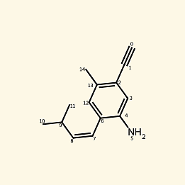 C#Cc1cc(N)c(/C=C\C(C)C)cc1C